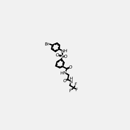 O=C(CNC(=O)c1cccc(S(=O)(=O)Nc2ccc(Br)cc2)c1)NCC(F)(F)F